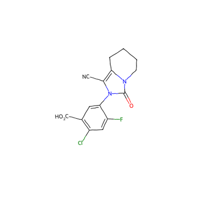 N#Cc1c2n(c(=O)n1-c1cc(C(=O)O)c(Cl)cc1F)CCCC2